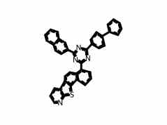 c1ccc(-c2ccc(-c3nc(-c4ccc5ccccc5c4)nc(-c4cccc5c4ccc4c6cccnc6sc54)n3)cc2)cc1